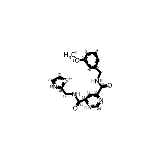 COc1cccc(CNC(=O)c2cc(C(=O)NCc3nccs3)ncn2)c1